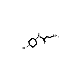 NCCC(=O)N[C@H]1CC[C@H](O)CC1